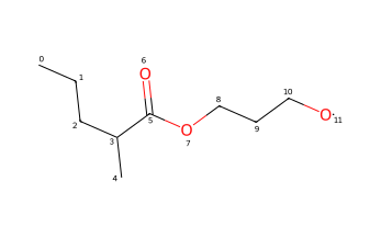 CCCC(C)C(=O)OCCC[O]